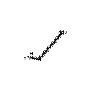 CCCNCCCOCCCN(C)CCOCCOCCOCCOCCOCCOCCOCCOCCOCCOCCC(=O)OC(C)(C)C